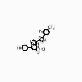 Cl.O=c1cc(C2CCNCC2)n2ncc(-c3nc(-c4ccc(C(F)(F)F)cc4F)no3)c2[nH]1